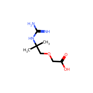 CC(C)(COCC(=O)O)NC(=N)N